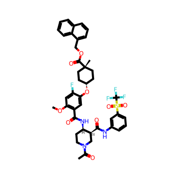 COc1cc(F)c(O[C@H]2CC[C@@](C)(C(=O)OCc3cccc4ccccc34)CC2)cc1C(=O)N[C@@H]1CCN(C(C)=O)C[C@@H]1C(=O)Nc1cccc(S(=O)(=O)C(F)(F)F)c1